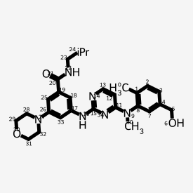 Cc1ccc(CO)cc1N(C)c1ccnc(Nc2cc(C(=O)NCC(C)C)cc(N3CCOCC3)c2)n1